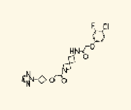 O=C(COc1ccc(Cl)c(F)c1)NC1CC2(C1)CN(C(=O)CO[C@H]1C[C@H](n3nccn3)C1)C2